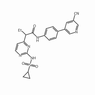 CCC(C(=O)Nc1ccc(-c2cncc(C#N)c2)cc1)c1ccnc(NS(=O)(=O)C2CC2)n1